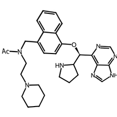 CC(=O)N(CCN1CCCCC1)Cc1ccc(O[C@@H](c2ncnc3[nH]cnc23)C2CCCN2)c2ccccc12